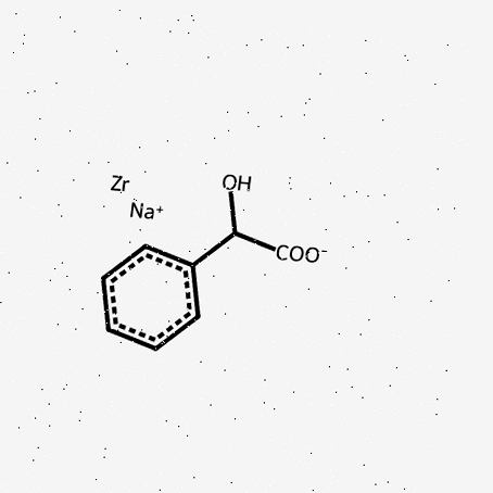 O=C([O-])C(O)c1ccccc1.[Na+].[Zr]